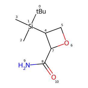 CC(C)(C)[Si](C)(C)C1COC1C(N)=O